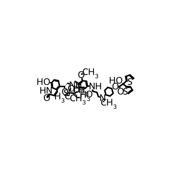 COc1cc(NC(=O)CCN(C)[C@H]2CC[C@H](OC(=O)C(O)(c3cccs3)c3cccs3)CC2)ccc1CNC[C@H](O[Si](C)(C)C(C)(C)C)c1ccc(O)c2[nH]c(=O)ccc12